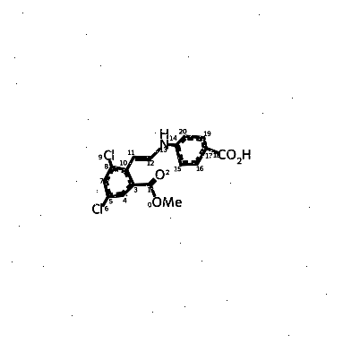 COC(=O)c1[c]c(Cl)cc(Cl)c1C=CNc1ccc(C(=O)O)cc1